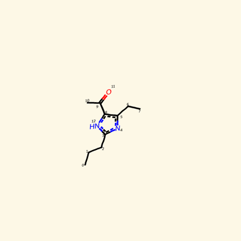 CCCc1nc(CC)c(C(C)=O)[nH]1